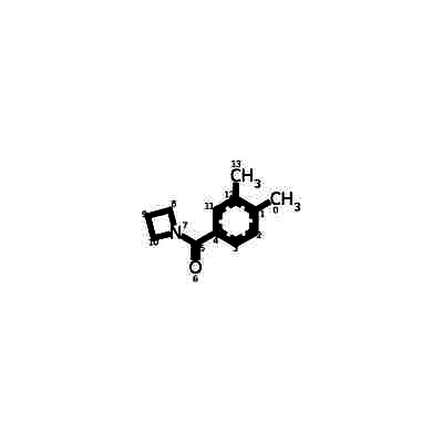 Cc1ccc(C(=O)N2CCC2)cc1C